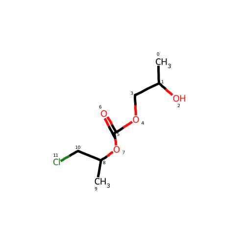 CC(O)COC(=O)OC(C)CCl